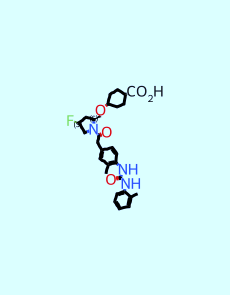 Cc1ccccc1NC(=O)Nc1ccc(CC(=O)N2C[C@@H](F)C[C@H]2COC2CCC(C(=O)O)CC2)cc1C